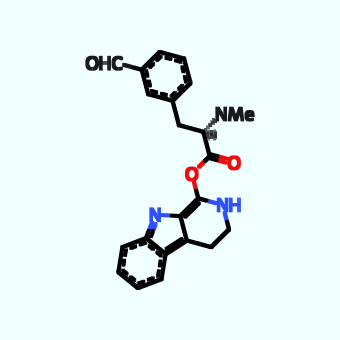 CN[C@@H](Cc1cccc(C=O)c1)C(=O)OC1=C2N=c3ccccc3=C2CCN1